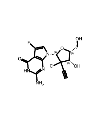 C#CC1(Cl)[C@@H](O)[C@@H](CO)O[C@H]1n1cc(F)c2c(=O)[nH]c(N)nc21